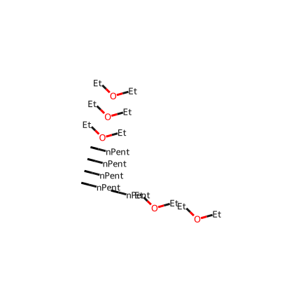 CCCCCC.CCCCCC.CCCCCC.CCCCCC.CCCCCC.CCOCC.CCOCC.CCOCC.CCOCC.CCOCC